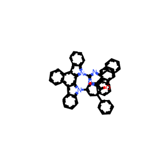 c1ccc(-c2nc(-n3c4ccccc4c4c5ccccc5c5c6ccccc6n(-c6cc(-c7ccccc7)c7oc8ccccc8c7c6)c5c43)nc3ccccc23)cc1